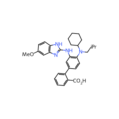 COc1ccc2[nH]c(Nc3cc(-c4ccccc4C(=O)O)ccc3N(CC(C)C)C3CCCCC3)nc2c1